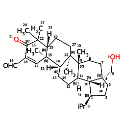 CC(C)[C@@H]1CC[C@]2(CO)CC[C@]3(C)[C@H](CC[C@@H]4[C@@]5(C)C=C(C=O)C(=O)C(C)(C)[C@@H]5CC[C@]43C)[C@@H]12